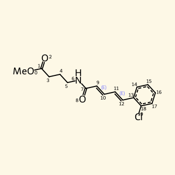 COC(=O)CCCNC(=O)/C=C/C=C/c1ccccc1Cl